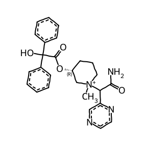 C[N+]1(C(C(N)=O)c2cnccn2)CCC[C@@H](OC(=O)C(O)(c2ccccc2)c2ccccc2)C1